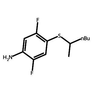 CCCCC(C)Sc1cc(F)c(N)cc1F